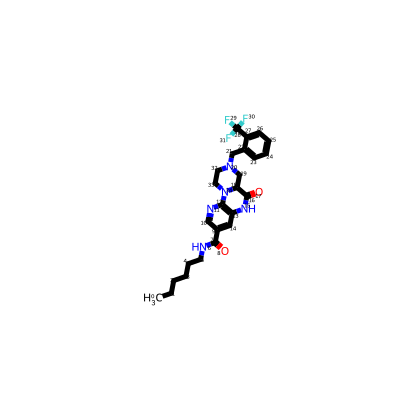 CCCCCCNC(=O)c1cnc2c(c1)NC(=O)C1CN(Cc3ccccc3C(F)(F)F)CCN21